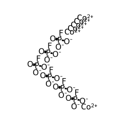 O=P([O-])([O-])F.O=P([O-])([O-])F.O=P([O-])([O-])F.O=P([O-])([O-])F.O=P([O-])([O-])F.O=P([O-])([O-])F.[Co+2].[Co+2].[Co+2].[Co+2].[Co+2].[Co+2]